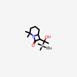 CC1(C)CCCC2C(C(C)(O)[Si](C)(C)C(C)(C)C)C(=O)N21